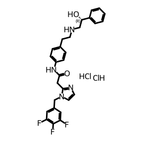 Cl.Cl.O=C(Cc1nccn1Cc1cc(F)c(F)c(F)c1)Nc1ccc(CCNC[C@H](O)c2ccccc2)cc1